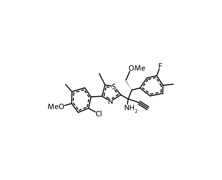 C#CC(N)(c1nc(-c2cc(C)c(OC)cc2Cl)c(C)s1)[C@H](COC)c1ccc(C)c(F)c1